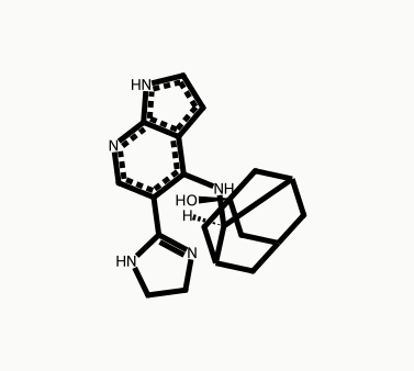 O[C@]12CC3CC(C1)[C@H](Nc1c(C4=NCCN4)cnc4[nH]ccc14)C(C3)C2